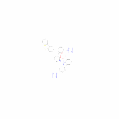 N#Cc1ccc2c3ccccc3n(-c3cccc4c3oc3c(C#N)ccc(-c5ccc6sc7ccccc7c6c5)c34)c2c1